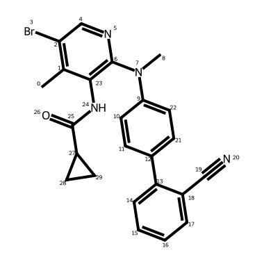 Cc1c(Br)cnc(N(C)c2ccc(-c3ccccc3C#N)cc2)c1NC(=O)C1CC1